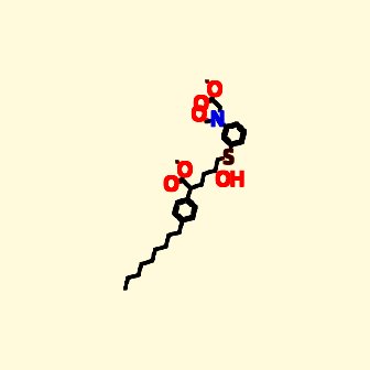 CCCCCCCCCc1ccc(C(CCC(O)CSc2cccc(N(C=O)CC(=O)OC)c2)C(=O)OC)cc1